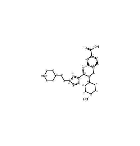 Cl.O=C(O)c1ccc(CN(C(=O)c2ccn(CCC3CCNCC3)n2)C2CCCCC2)cc1